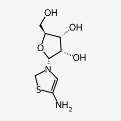 NC1=CN([C@@H]2O[C@@H](CO)[C@H](O)[C@@H]2O)CS1